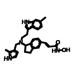 Cc1ccc2c(CCN(Cc3cc[nH]c3C)C3CCc4cc(/C=C/C(=O)NO)ccc43)c[nH]c2c1